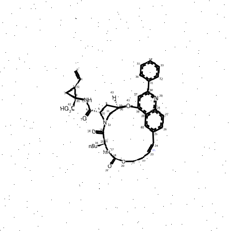 C=C[C@@H]1C[C@]1(NC(=O)[C@@H]1C[C@@H]2CN1C(=O)[C@H](CCCC)NC(=O)OCC/C=C\c1ccc3nc(-c4ccccc4)cc(c3c1)O2)C(=O)O